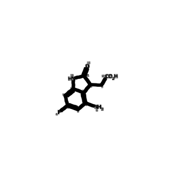 Nc1cc(F)cc2c1C(CC(=O)O)C(=O)N2